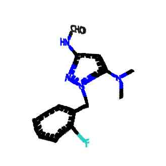 CN(C)c1cc(NC=O)nn1Cc1ccccc1F